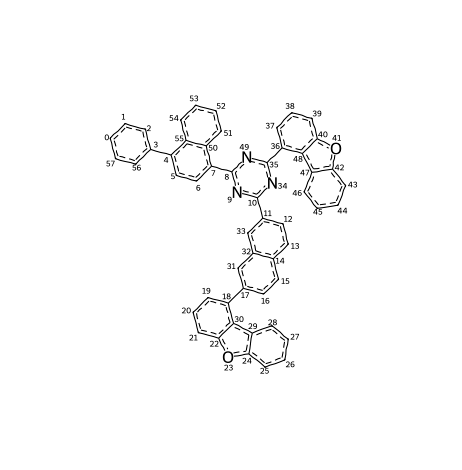 c1ccc(-c2ccc(-c3nc(-c4ccc5ccc(-c6cccc7oc8ccccc8c67)cc5c4)nc(-c4cccc5oc6ccccc6c45)n3)c3ccccc23)cc1